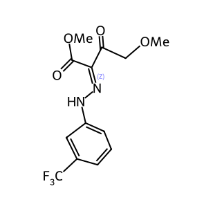 COCC(=O)/C(=N/Nc1cccc(C(F)(F)F)c1)C(=O)OC